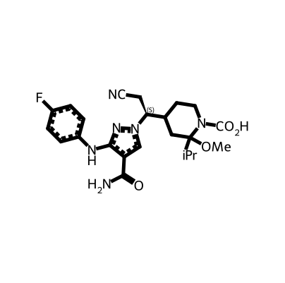 COC1(C(C)C)CC([C@H](CC#N)n2cc(C(N)=O)c(Nc3ccc(F)cc3)n2)CCN1C(=O)O